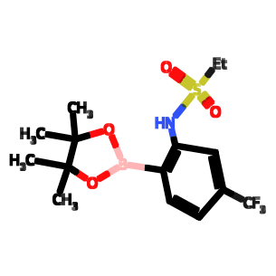 CCS(=O)(=O)Nc1cc(C(F)(F)F)ccc1B1OC(C)(C)C(C)(C)O1